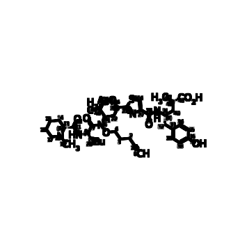 C#CCCCON(C(=O)[C@@H](NC(=O)[C@H]1CCCCN1C)[C@@H](C)CC)[C@H](C[C@@H](OC(C)=O)c1nc(C(=O)N[C@@H](Cc2ccc(O)cc2)C[C@H](C)C(=O)O)cs1)C(=C)C